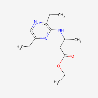 CCOC(=O)CC(C)Nc1nc(CC)cnc1CC